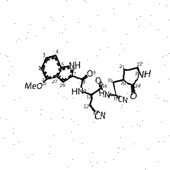 COc1cccc2[nH]c(C(=O)NC(CC#N)C(=O)NC(C#N)CC3CCNC3=O)cc12